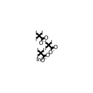 O=C([O-])C(I)(I)I.O=C([O-])C(I)(I)I.O=C([O-])C(I)(I)I.[In+3]